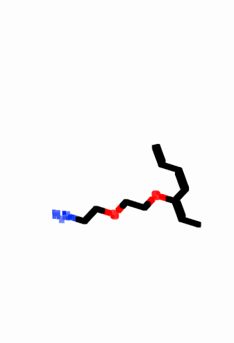 C=C/C=C\C(=C/C)OCCOCCN